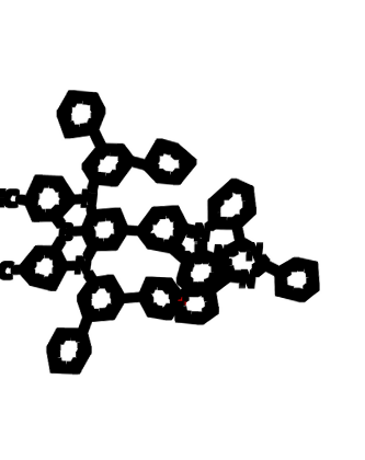 N#Cc1ccc2c(c1)B1c3cc(C#N)ccc3N(c3cc(-c4ccccc4)cc(-c4ccccc4)c3)c3cc(-c4ccc5c(c4)c4ccccc4n5-c4ccccc4-c4nc(-c5ccccc5)nc(-c5ccccc5)n4)cc(c31)N2c1cc(-c2ccccc2)cc(-c2ccccc2)c1